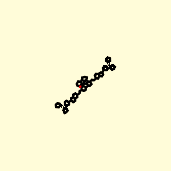 C(=C\c1ccc2cc(-c3ccc4c(c3)c3ccccc3n4-c3ccccc3)ccc2c1)/c1ccc2c(c1)C1(c3ccccc3-c3ccccc31)c1cc(/C=C/c3ccc4cc(-c5ccc6c(c5)c5ccccc5n6-c5ccccc5)ccc4c3)ccc1-2